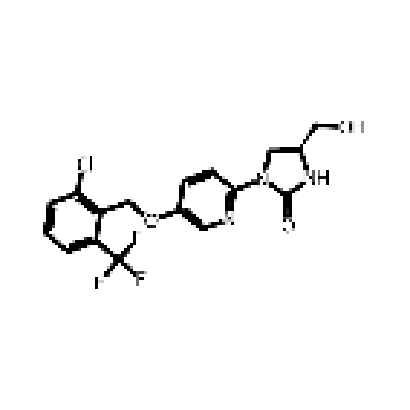 O=C1N[C@H](CO)CN1c1ccc(OCc2c(Cl)cccc2C(F)(F)F)cn1